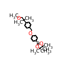 COCC(C)(C)c1ccc(COc2ccc(B3OC(C)(C)C(C)(C)O3)cc2)cc1